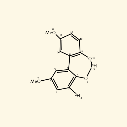 [2H]c1cc(OC)cc2c1o[pH]oc1ccc(OC)cc12